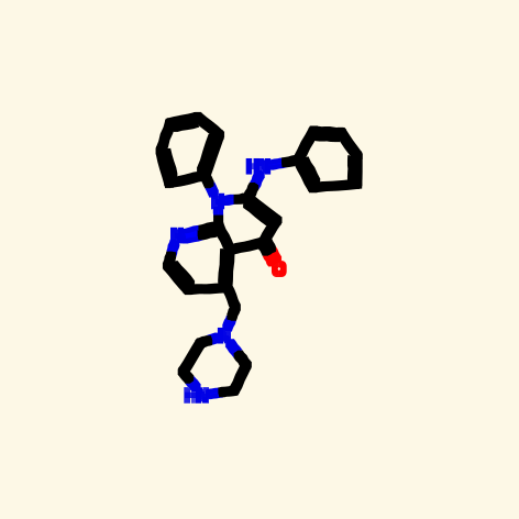 O=c1cc(Nc2ccccc2)n(-c2ccccc2)c2nccc(CN3CCNCC3)c12